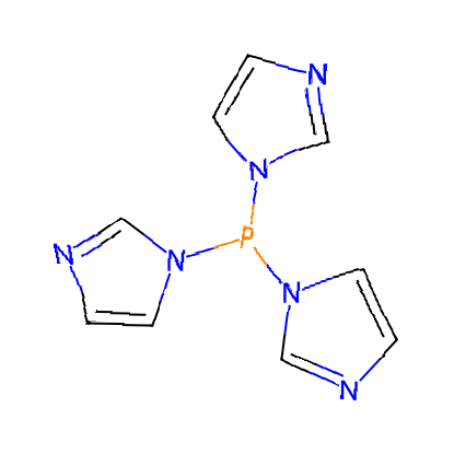 c1cn(P(n2ccnc2)n2ccnc2)cn1